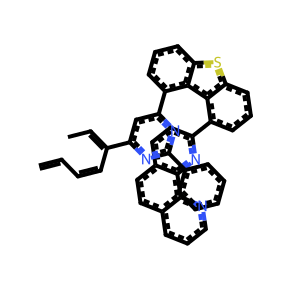 C=C/C=C\C(=C/C)c1cc(-c2cccc3sc4cccc(-c5ccc6ccc7cccnc7c6n5)c4c23)nc(-c2ccccc2)n1